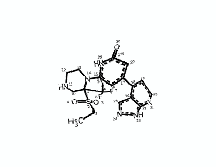 CCS(=O)(=O)C1(C(F)(F)F)CNCCN1c1cc(-c2ccnc3[nH]ncc23)cc(=O)[nH]1